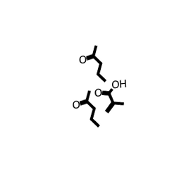 C=C(C)C(=O)O.CCCC(C)=O.CCCC(C)=O